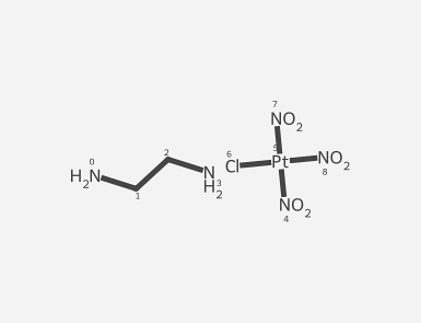 NCCN.O=[N+]([O-])[Pt]([Cl])([N+](=O)[O-])[N+](=O)[O-]